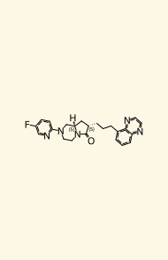 O=C1[C@@H](CCCc2cccc3nccnc23)C[C@H]2CN(c3ccc(F)cn3)CCN12